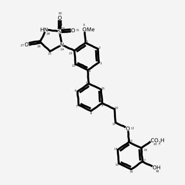 COc1ccc(-c2cccc(CCOc3cccc(O)c3C(=O)O)c2)cc1N1CC(=O)NS1(=O)=O